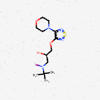 CC(C)(C)N(I)CC(O)COc1nsnc1N1CCOCC1